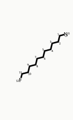 [N]CCCCCCCCCCCF